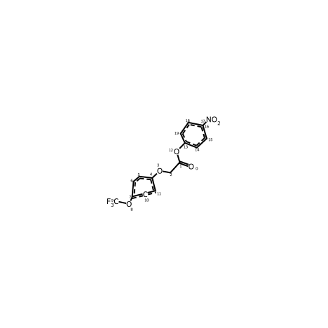 O=C(COc1ccc(OC(F)(F)F)cc1)Oc1ccc([N+](=O)[O-])cc1